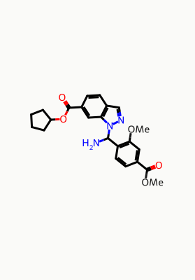 COC(=O)c1ccc(C(N)n2ncc3ccc(C(=O)OC4CCCC4)cc32)c(OC)c1